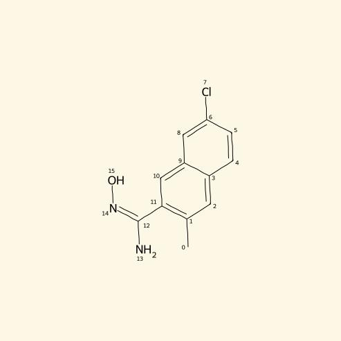 Cc1cc2ccc(Cl)cc2cc1/C(N)=N\O